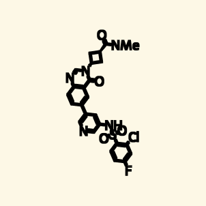 CNC(=O)[C@H]1C[C@@H](n2cnc3ccc(-c4cncc(NS(=O)(=O)c5ccc(F)cc5Cl)c4)cc3c2=O)C1